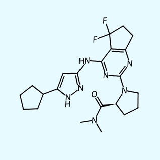 CN(C)C(=O)[C@@H]1CCCN1c1nc2c(c(Nc3cc(C4CCCC4)[nH]n3)n1)C(F)(F)CC2